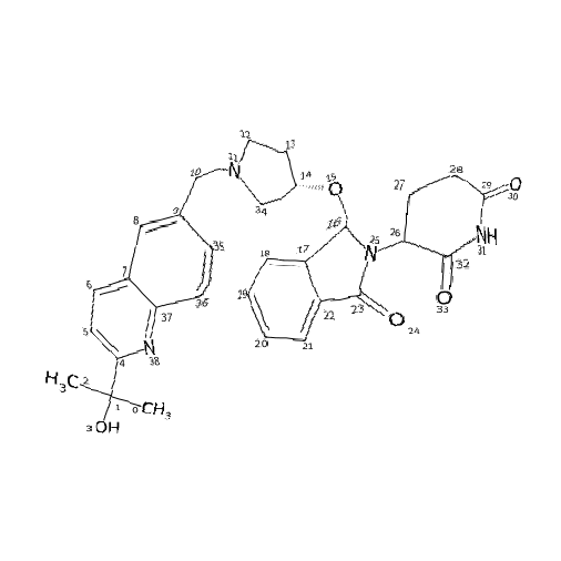 CC(C)(O)c1ccc2cc(CN3CC[C@H](OC4c5ccccc5C(=O)N4C4CCC(=O)NC4=O)C3)ccc2n1